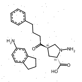 NN1C[C@H](C(=O)CCCc2ccccc2)C[C@H]1C(=O)O.Nc1ccc2c(c1)CCC2